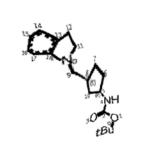 CC(C)(C)OC(=O)N[C@@H]1CC[C@H](CN2CCc3ccccc32)C1